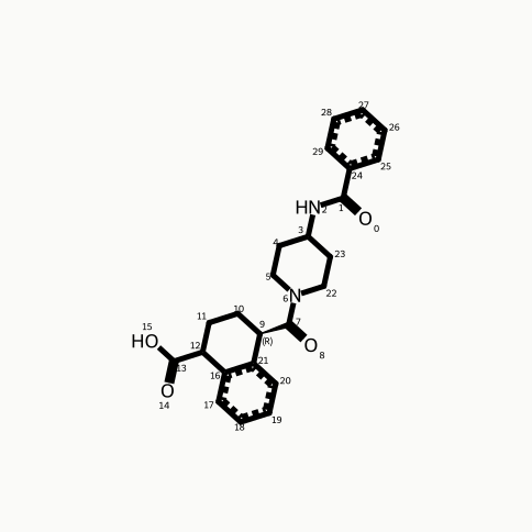 O=C(NC1CCN(C(=O)[C@@H]2CCC(C(=O)O)c3ccccc32)CC1)c1ccccc1